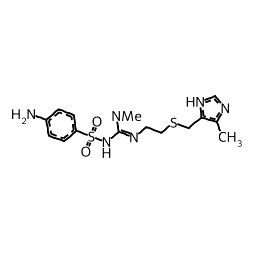 CN/C(=N\CCSCc1[nH]cnc1C)NS(=O)(=O)c1ccc(N)cc1